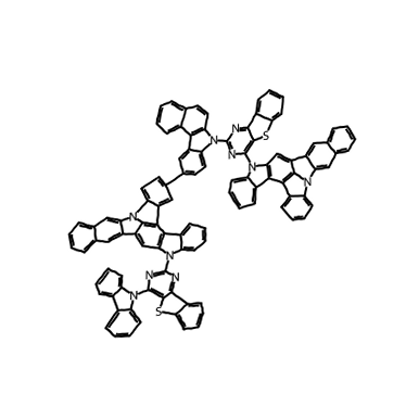 c1ccc2cc3c(cc2c1)c1cc2c(c4ccccc4n2-c2nc(-n4c5ccccc5c5ccccc54)c4sc5ccccc5c4n2)c2c4cc(-c5ccc6c(c5)c5c7ccccc7ccc5n6-c5nc(-n6c7ccccc7c7c8c9ccccc9n9c%10cc%11ccccc%11cc%10c(cc76)c89)c6sc7ccccc7c6n5)ccc4n3c12